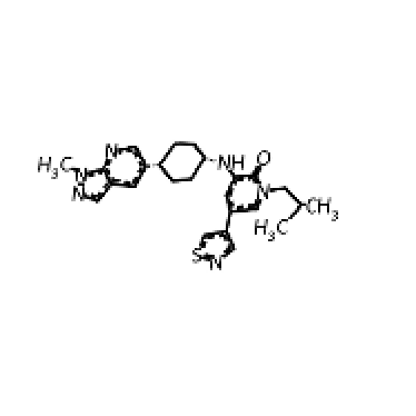 CC(C)Cn1cc(-c2cnsc2)cc(N[C@H]2CC[C@@H](c3cnc4c(cnn4C)c3)CC2)c1=O